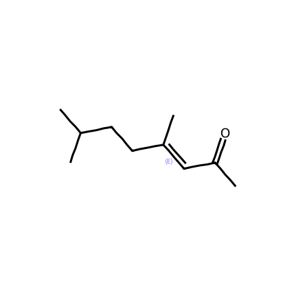 CC(=O)/C=C(\C)CCC(C)C